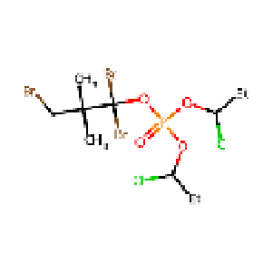 CCC(Cl)OP(=O)(OC(Cl)CC)OC(Br)(Br)C(C)(C)CBr